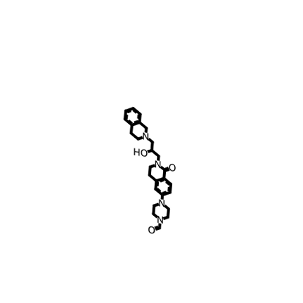 O=CN1CCN(c2ccc3c(c2)CCN(CC(O)CN2CCc4ccccc4C2)C3=O)CC1